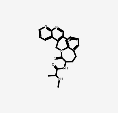 CNC(C)C(=O)NC1CCc2ccccc2N(Cc2c(OC)cnc3ncccc23)C1=O